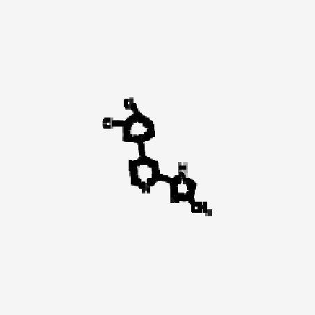 Cc1c[nH]c(-c2cc(-c3ccc(Cl)c(Cl)c3)ncn2)n1